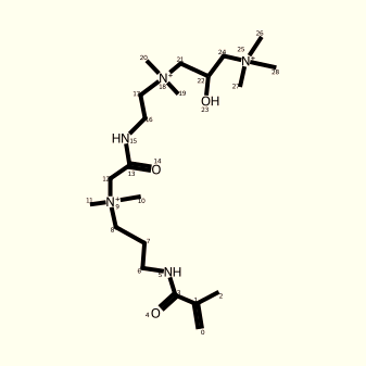 C=C(C)C(=O)NCCC[N+](C)(C)CC(=O)NCC[N+](C)(C)CC(O)C[N+](C)(C)C